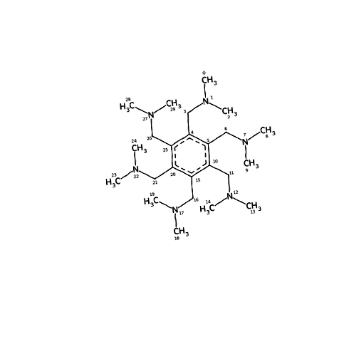 CN(C)Cc1c(CN(C)C)c(CN(C)C)c(CN(C)C)c(CN(C)C)c1CN(C)C